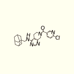 O=C(c1ccc(Cl)nc1)N1CCc2c(ncnc2NCC23CC4CC(CC(C4)C2)C3)C1